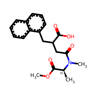 COC(=O)[C@H](C)N(C)C(=O)CC(Cc1cccc2ccccc12)C(=O)O